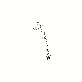 CC/C(=C(/c1ccc(O)cc1)c1ccc(OCCNCCCCCCC[S+]([O-])CCCC(F)(F)C(F)(F)F)cc1)c1ccccc1